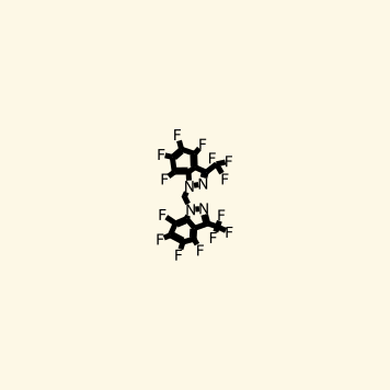 Fc1c(F)c(F)c2c(c(C(F)(F)F)nn2Cn2nc(C(F)(F)F)c3c(F)c(F)c(F)c(F)c32)c1F